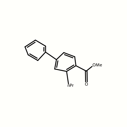 CCCc1cc(-c2ccccc2)ccc1C(=O)OC